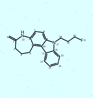 C=C1CCCc2c(ccc3c2c2ccccc2n3CCCF)N1